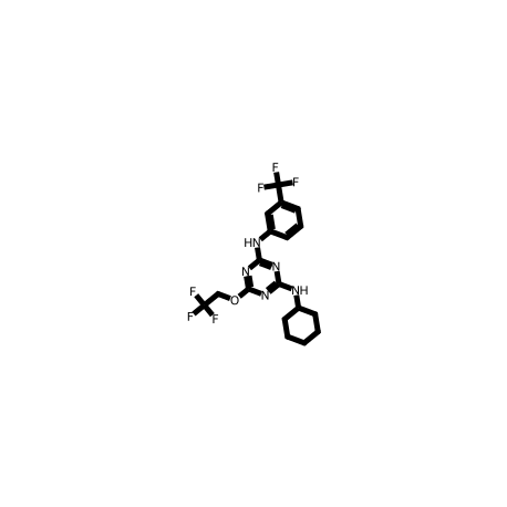 FC(F)(F)COc1nc(Nc2cccc(C(F)(F)F)c2)nc(NC2CCCCC2)n1